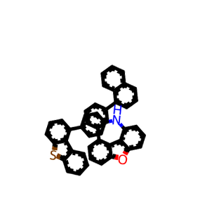 c1cc(-c2cccc3ccccc23)cc(-c2cccc3oc4cccc(Nc5ccc(-c6cccc7sc8ccccc8c67)cc5)c4c23)c1